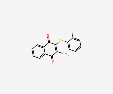 CC1=C(Sc2ccccc2Cl)C(=O)c2ccccc2C1=O